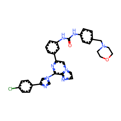 O=C(Nc1ccc(CN2CCOCC2)cc1)Nc1cccc(-c2cn3ccnc3c(-n3cnc(-c4ccc(Cl)cc4)c3)n2)c1